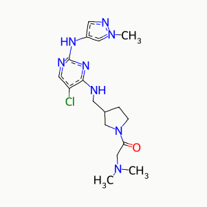 CN(C)CC(=O)N1CCC(CNc2nc(Nc3cnn(C)c3)ncc2Cl)C1